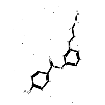 COc1ccc(C(=O)Nc2cccc(CCC[CH]O)c2)cc1